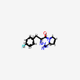 N#C[C@@H]1C=CCN1C(=O)C(N)Cc1ccc(F)cc1